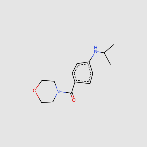 CC(C)Nc1ccc(C(=O)N2CCOCC2)cc1